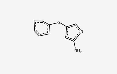 Nc1ncc(Sc2ccccc2)s1